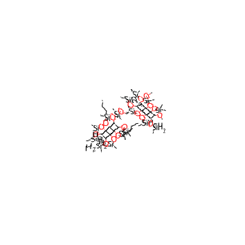 CCC[Si](C)(C)OC12C3(O[SiH2]C)C4(O[SiH2]C)C5(O[SiH2]C)C3(O[SiH2]C)C1(O[Si](C)(C)CCC)C5(O[Si](C)(C)O/C=[Si](\C)OC13C5(O[SiH2]C)C6(O[SiH2]C)C7(OC)C5(O[Si](C)(C)C)C1(O[Si](C)(C)OC)C7(O[Si](C)(C)C)C63O[SiH2]C)C42O[Si](C)(C)C